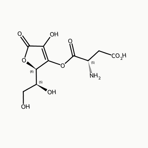 N[C@@H](CC(=O)O)C(=O)OC1=C(O)C(=O)O[C@@H]1[C@@H](O)CO